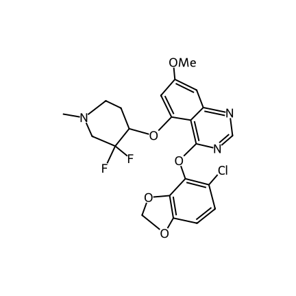 COc1cc(OC2CCN(C)CC2(F)F)c2c(Oc3c(Cl)ccc4c3OCO4)ncnc2c1